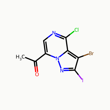 CC(=O)c1cnc(Cl)c2c(Br)c(I)nn12